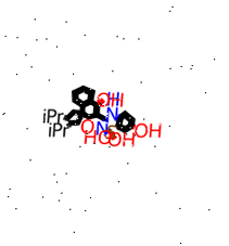 CC(C)CCC1(CCC(C)C)C(=O)C(C2=NS(O)(O)c3cc(O)ccc3N2)=C(O)c2ccccc21